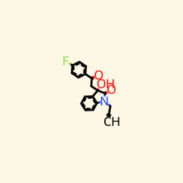 C#CCN1C(=O)C(O)(CC(=O)c2ccc(F)cc2)c2ccccc21